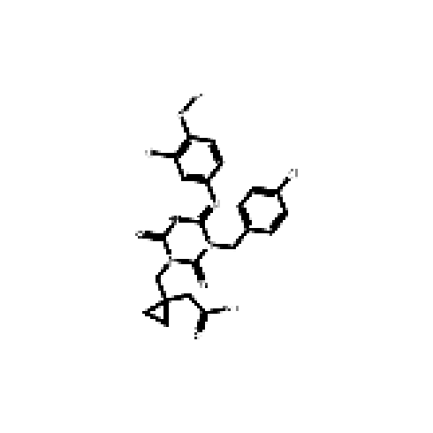 CC(C)Oc1ccc(/N=c2\[nH]c(=O)n(CC3(CC(=O)N=O)CC3)c(=O)n2Cc2ccc(Cl)cc2)cc1Cl